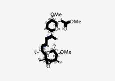 COC(=O)C[C@@H]1O[C@H](/C(C)=C/C=C/[C@@H](C)C[C@@]2(C)O[C@@H]2[C@H](C)[C@@H](OC)[C@@H](C)O)CC[C@@H]1OC